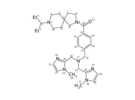 CCC(CC)N1CCC2(CCN(C(=O)c3ccc(CN(Cc4nccn4C)Cc4nccn4C)cc3)C2)CC1